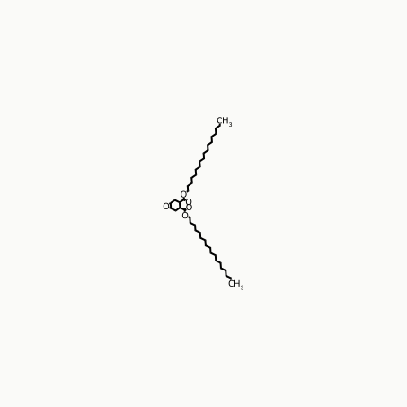 CCCCCCCCCCCCCCCCCCOC(=O)C1CC2OC2CC1C(=O)OCCCCCCCCCCCCCCCCCC